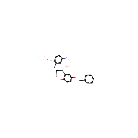 COc1ccc(N)cc1C[C@@H]1COc2ccc(OCc3ccccc3)cc2[C@@H]1O